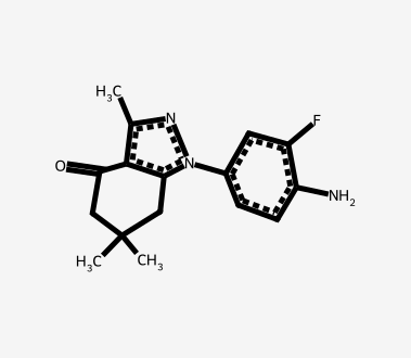 Cc1nn(-c2ccc(N)c(F)c2)c2c1C(=O)CC(C)(C)C2